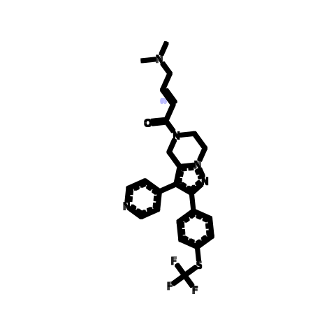 CN(C)C/C=C/C(=O)N1CCn2nc(-c3ccc(SC(F)(F)F)cc3)c(-c3ccncc3)c2C1